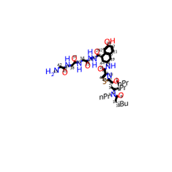 CCCO[C@H](CC(C(C)C)N(CCC)C(=O)C[C@@H](C)CC)c1nc(C(=O)N[C@H]2Cc3ccc(O)cc3[C@H](C(=O)NNC(=O)CNC(=O)CNC(=O)CN)C2)cs1